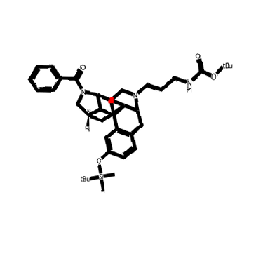 CC(C)(C)OC(=O)NCCCN1CCC23c4cc(O[Si](C)(C)C(C)(C)C)ccc4CC1C21CCC2C3[C@@H](CN2C(=O)c2ccccc2)C1